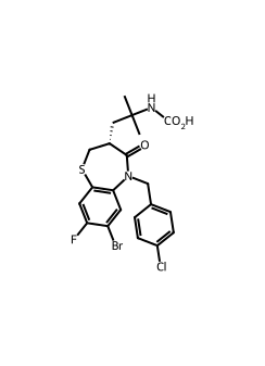 CC(C)(C[C@H]1CSc2cc(F)c(Br)cc2N(Cc2ccc(Cl)cc2)C1=O)NC(=O)O